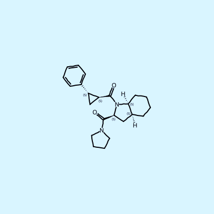 O=C([C@@H]1C[C@@H]2CCCC[C@@H]2N1C(=O)[C@H]1C[C@@H]1c1ccccc1)N1CCCC1